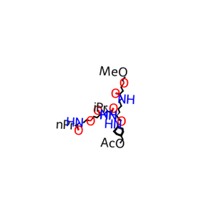 CCCC(=O)NCCOCCC(=O)N[C@H](C(=O)N[C@@H](CCCCNC(=O)CCOCCOC)C(=O)Nc1ccc(COC(C)=O)cc1)C(C)C